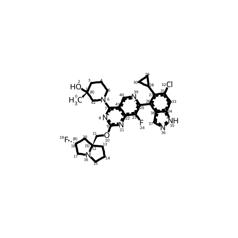 C[C@@]1(O)CCCN(c2nc(OC[C@@]34CCCN3C[C@H](F)C4)nc3c(F)c(-c4c(C5CC5)c(Cl)cc5[nH]ncc45)ncc23)C1